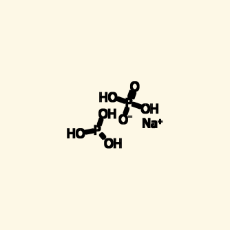 O=P([O-])(O)O.OP(O)O.[Na+]